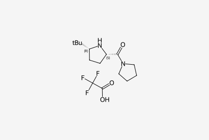 CC(C)(C)[C@H]1CC[C@@H](C(=O)N2CCCC2)N1.O=C(O)C(F)(F)F